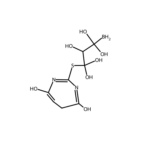 BC(O)(O)C(O)C(O)(O)SC1=NC(O)=CCC(O)=N1